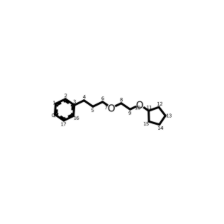 [c]1ccc(CCCOCCOC2CCCC2)cc1